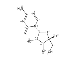 [2H][C@]1(CO)O[C@@H](N2C=NC(N)=NC2=C)[C@@H](O)C1O